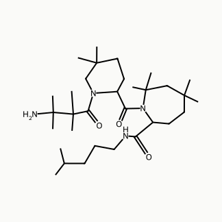 CC(C)CCCNC(=O)C1CCC(C)(C)CC(C)(C)N1C(=O)C1CCC(C)(C)CN1C(=O)C(C)(C)C(C)(C)N